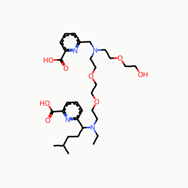 CCN(CCOCCOCCN(CCOCCO)Cc1cccc(C(=O)O)n1)C(CCC(C)C)c1cccc(C(=O)O)n1